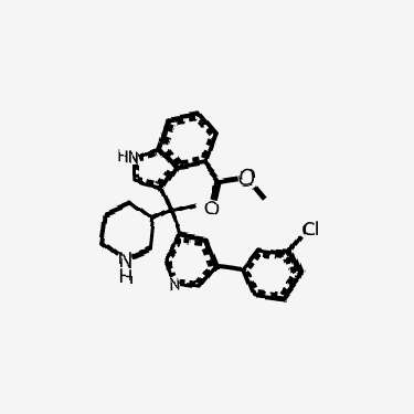 COC(=O)c1cccc2[nH]cc(C(C)(c3cncc(-c4cccc(Cl)c4)c3)C3CCCNC3)c12